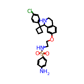 Nc1ccc(S(=O)(=O)NCCOc2ccc3c(c2)C(C2(c4ccc(Cl)cc4)CCC2)NCC3)cc1